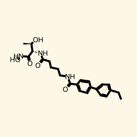 CCc1ccc(-c2ccc(C(=O)NCCCCC(=O)N[C@H](C(=O)NO)[C@@H](C)O)cc2)cc1